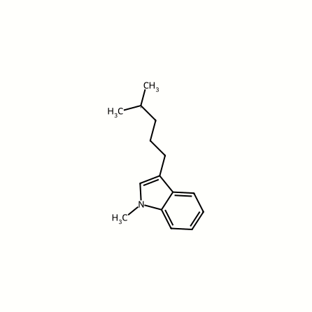 C[C](C)CCCc1cn(C)c2ccccc12